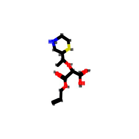 C=CCOC(=O)C(OC(C)C1CNCCS1)C(=O)O